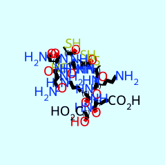 NCCCC[C@H](NC(=O)[C@H](CCCCN)NC(=O)[C@H](CS)NC(=O)[C@H](CS)NC(=O)[C@H](CS)NC(=O)[C@H](CS)NC(=O)[C@H](CC(N)=O)NC(=O)[C@@H](N)CC(N)=O)C(=O)N[C@@H](CCC(=O)O)C(=O)N[C@@H](CO)C(=O)O